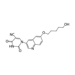 N#Cc1cn(-c2cnc3ccc(OCCCCCO)cc3c2)c(=O)[nH]c1=O